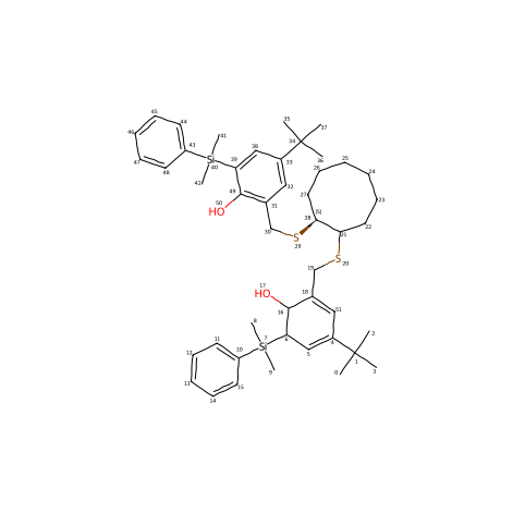 CC(C)(C)C1=CC([Si](C)(C)c2ccccc2)C(O)C(CSC2CCCCCC[C@@H]2SCc2cc(C(C)(C)C)cc([Si](C)(C)c3ccccc3)c2O)=C1